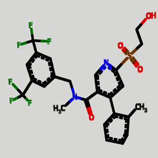 Cc1ccccc1-c1cc(S(=O)(=O)CCO)ncc1C(=O)N(C)Cc1cc(C(F)(F)F)cc(C(F)(F)F)c1